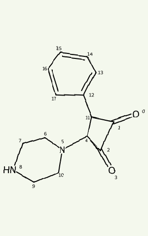 O=C1C(=O)C(N2CCNCC2)C1c1ccccc1